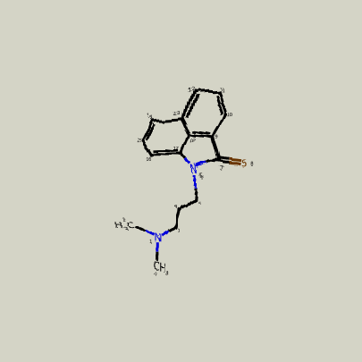 CN(C)CCCN1C(=S)c2cccc3cccc1c23